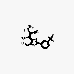 CCc1sc(-c2cccc(C(F)(F)F)c2)nc1/C(N)=C(\C#N)NN